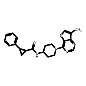 Cc1csc2c(N3CCC(NC(=O)C4CC4c4ccccc4)CC3)ncnc12